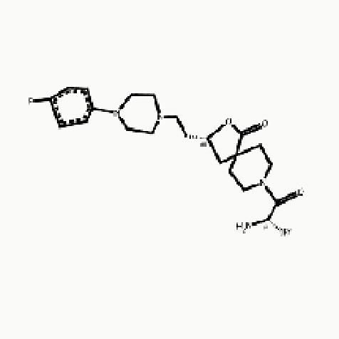 CC(C)[C@H](N)C(=O)N1CCC2(CC1)C[C@H](CCN1CCN(c3ccc(F)cc3)CC1)OC2=O